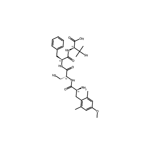 COc1cc(C)c(C[C@H](N)C(=O)N[C@H](CS)C(=O)N[C@@H](Cc2ccccc2)C(=O)N[C@@H](C(=O)O)C(C)(C)S)c(C)c1